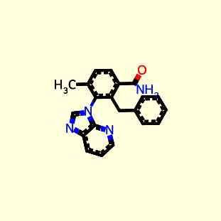 Cc1ccc(C(N)=O)c(Cc2ccccc2)c1-n1cnc2cccnc21